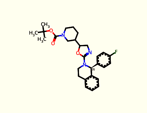 CC(C)(C)OC(=O)N1CCCC(C2CN=C(N3CCc4ccccc4[C@@H]3c3ccc(F)cc3)O2)C1